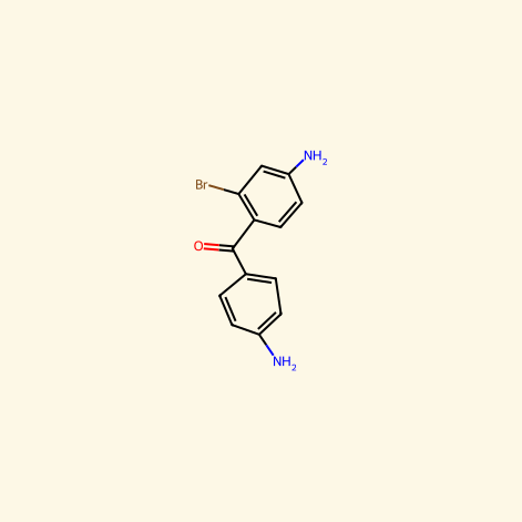 Nc1ccc(C(=O)c2ccc(N)cc2Br)cc1